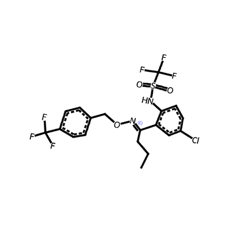 CCC/C(=N\OCc1ccc(C(F)(F)F)cc1)c1cc(Cl)ccc1NS(=O)(=O)C(F)(F)F